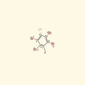 Cc1c(Br)c(Br)c(F)c(Br)c1Br